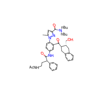 CCCCN(CCCC)C(=O)c1cc(C)n(-c2ccc(NC(=O)C(CCNC(C)=O)c3ccccc3)cc2C(=O)C2Cc3ccccc3C[C@H]2CO)n1